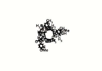 CC[C@H]1OC(=O)[C@H](C)[C@@H](O[C@H]2C[C@@](C)(OC)[C@@H](O)[C@H](C)O2)[C@H](C)[C@@H](O[C@@H]2O[C@H](C)C[C@H](N(C)CCc3cn(C[C@H]4CN(c5ccc(OC)c(F)c5)C(=O)O4)nn3)[C@H]2O)[C@](C)(O)C[C@@H](C)CN(C)[C@H](C)[C@@H](O)[C@]1(C)O